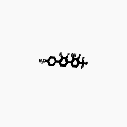 CC1CCC(c2ccc(-c3ccc(C(F)(F)F)c(F)c3O)c(F)c2F)CC1